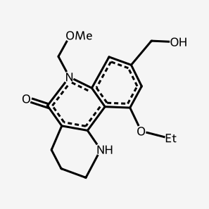 CCOc1cc(CO)cc2c1c1c(c(=O)n2COC)CCCN1